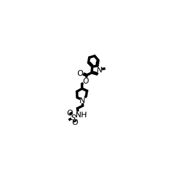 Cn1cc(C(=O)OCC2CCN(CCNS(C)(=O)=O)CC2)c2c1=CCCC=2